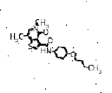 CCCCO[C@H]1CC[C@H](NC(=O)c2csc3c(C)cn(C)c(=O)c23)CC1